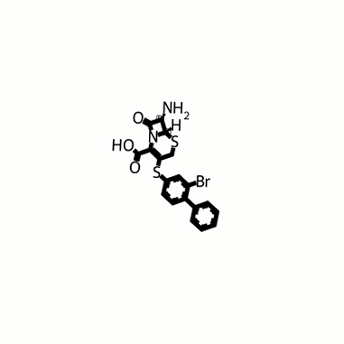 N[C@@H]1C(=O)N2C(C(=O)O)=C(Sc3ccc(-c4ccccc4)c(Br)c3)CS[C@@H]12